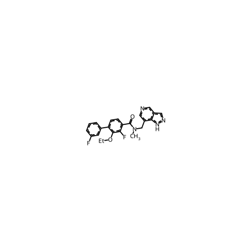 CCOc1c(-c2cccc(F)c2)ccc(C(=O)N(C)Cc2cncc3cn[nH]c23)c1F